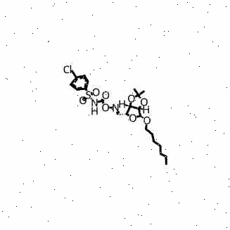 CCCCCCCO[C@H]1O[C@H](C=NOC(=O)NS(=O)(=O)c2ccc(Cl)cc2)[C@@H]2OC(C)(C)O[C@H]12